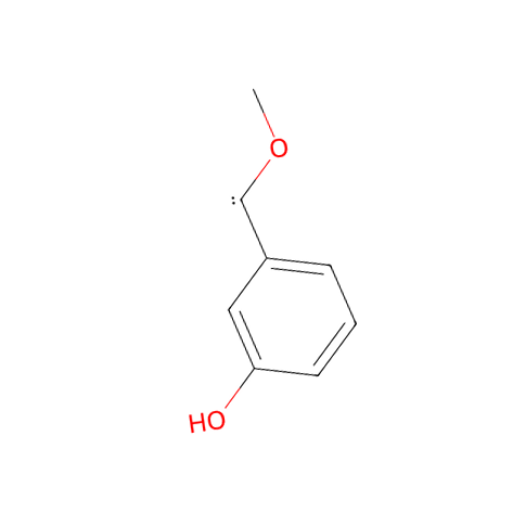 CO[C]c1cccc(O)c1